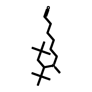 CN(CCCCCC=O)C(CC(C)(C)C)C(C)(C)C